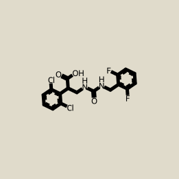 O=C(NCc1c(F)cccc1F)NCC(C(=O)O)c1c(Cl)cccc1Cl